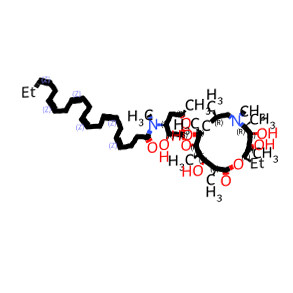 CC/C=C\C/C=C\C/C=C\C/C=C\C/C=C\C/C=C\CCC(=O)N(C)[C@H]1C[C@@H](C)O[C@@H](O[C@@H]2[C@H](C)[C@H](O)[C@@H](C)C(=O)O[C@H](CC)[C@@](C)(O)[C@H](O)[C@@H](C)N(C)C[C@H](C)C[C@@]2(C)O)[C@@H]1O